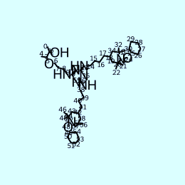 CC(O)C(C)OCCCNc1nc(NCCCCC2CC(C)(C)N(OC3CCCCC3)C(C)(C)C2)nc(NCCCCC2CC(C)(C)N(OC3CCCCC3)C(C)(C)C2)n1